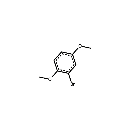 COc1[c]c(Br)c(OC)cc1